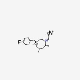 C=C1CC(C)CS(C)(CC2=CC=C(F)CC2)CC/C1=C\C1=CN1C